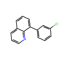 Clc1cccc(-c2cccc3cccnc23)c1